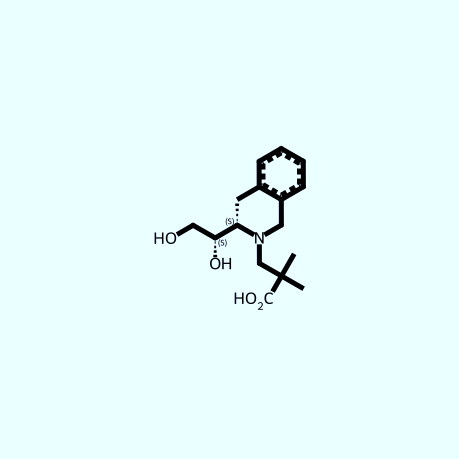 CC(C)(CN1Cc2ccccc2C[C@H]1[C@H](O)CO)C(=O)O